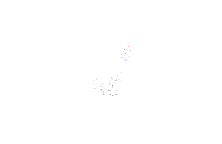 CC(=O)O[C@]1(C(C)=O)CC[C@H]2[C@@H]3CCC4=CC(=O)CCC4=C3[C@@H](c3ccc(N(C)CCCCCCN4C[C@H](C)N(C(=O)O)C[C@H]4C)cc3)C[C@@]21C